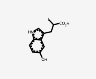 O=C(O)C(I)Cc1c[nH]c2ccc(O)cc12